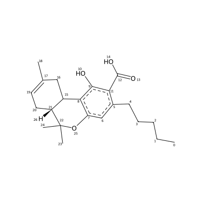 CCCCCc1cc2c(c(O)c1C(=O)O)C1CC(C)=CC[C@H]1C(C)(C)O2